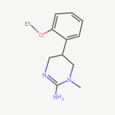 CCOc1ccccc1C1CN=C(N)N(C)C1